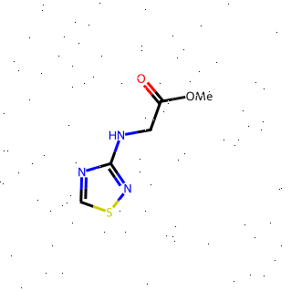 COC(=O)CNc1ncsn1